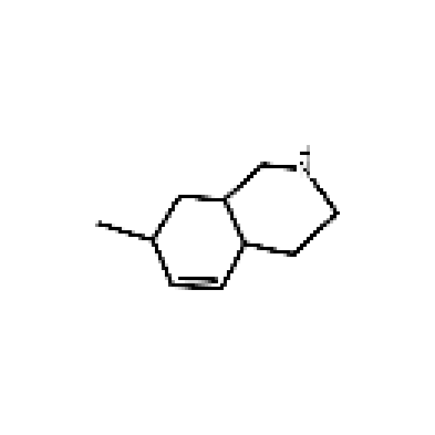 CC1C=CC2CCNCC2C1